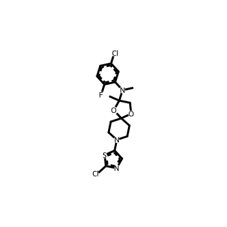 CN(c1cc(Cl)ccc1F)C1(C)COC2(CCN(c3cnc(Cl)s3)CC2)O1